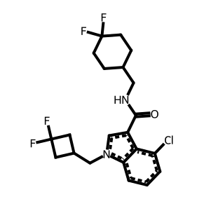 O=C(NCC1CCC(F)(F)CC1)c1cn(CC2CC(F)(F)C2)c2cccc(Cl)c12